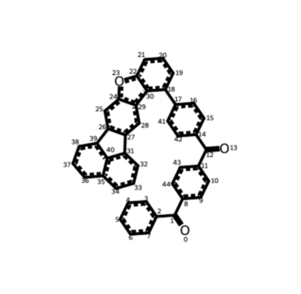 O=C(c1ccccc1)c1ccc(C(=O)c2ccc(-c3cccc4oc5cc6c(cc5c34)-c3cccc4cccc-6c34)cc2)cc1